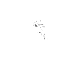 CCSC(Br)COC(=O)C=Cc1cc(-n2c(=O)cc(C(F)(F)F)n(C)c2=O)ccc1Cl